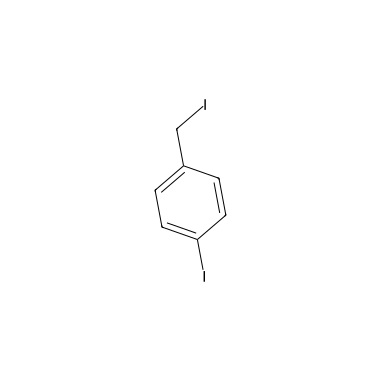 ICc1ccc(I)cc1